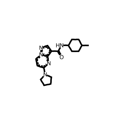 CC1CCC(NC(=O)c2cnn3ccc(N4CCCC4)nc23)CC1